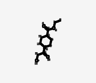 CCOC(=O)C1CCN(C(=O)C[O])CC1